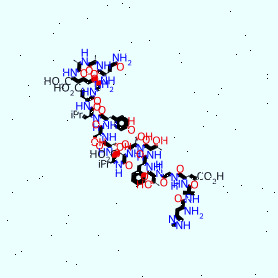 CC(C)C[C@H](NC(=O)[C@H](Cc1ccc(O)cc1)NC(=O)[C@H](CO)NC(=O)[C@H](CO)NC(=O)[C@@H](NC(=O)[C@H](CC(=O)O)NC(=O)[C@H](CO)NC(=O)[C@@H](NC(=O)[C@H](Cc1ccccc1)NC(=O)[C@H](NC(=O)CNC(=O)[C@H](CCC(=O)O)NC(=O)C(C)(C)NC(=O)[C@@H](N)Cc1c[nH]cn1)[C@H](C)O)[C@@H](C)O)C(C)C)C(=O)N[C@@H](CCC(=O)O)C(=O)NCC(=O)N[C@@H](CCC(N)=O)C(=O)N[C@@H](C)C(=O)N[C@@H](C)C(=O)N[C@@H](CCCCN)C(=O)O